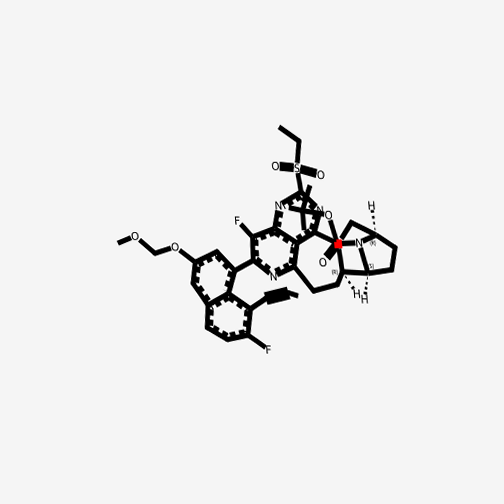 CC#Cc1c(F)ccc2cc(OCOC)cc(-c3nc4c5c(nc(S(=O)(=O)CC)nc5c3F)N3C[C@H]5CC[C@@H]([C@H]3CC4)N5C(=O)OC(C)(C)C)c12